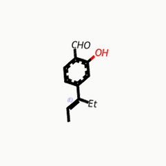 C/C=C(\CC)c1ccc(C=O)c(O)c1